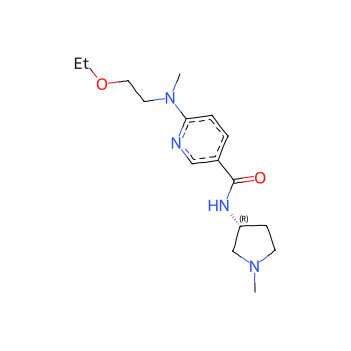 CCOCCN(C)c1ccc(C(=O)N[C@@H]2CCN(C)C2)cn1